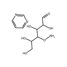 NOC(C(O)CO)C(O)C(O)C=O.c1cncnc1